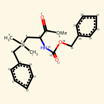 COC(=O)C(C[Si](C)(C)Cc1ccccc1)NC(=O)OCc1ccccc1